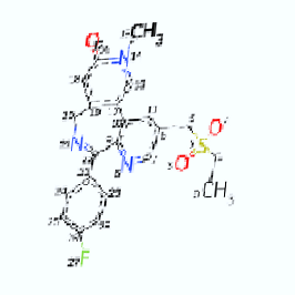 CCS(=O)(=O)Cc1cnc2c(c1)-c1cn(C)c(=O)cc1CN=C2c1ccc(F)cc1